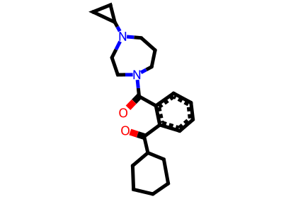 O=C(c1ccccc1C(=O)N1CCCN(C2CC2)CC1)C1CCCCC1